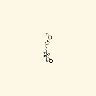 O=C(NCCCCN1CCN(c2cccc(Cl)c2)CC1)Nc1cnc2ccccc2c1